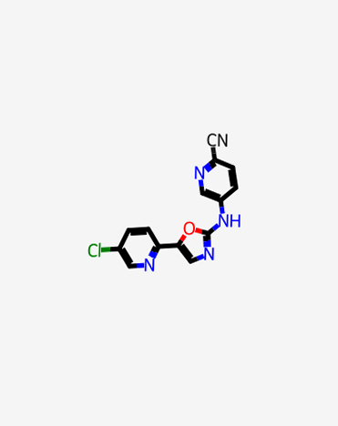 N#Cc1ccc(Nc2ncc(-c3ccc(Cl)cn3)o2)cn1